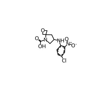 O=C(O)N1CC(Nc2ccc(Cl)cc2[N+](=O)[O-])CC12COC2